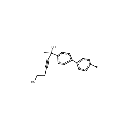 CC(O)(C#CCCO)c1ccc(-c2ccc(F)cc2)cc1